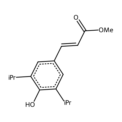 COC(=O)C=Cc1cc(C(C)C)c(O)c(C(C)C)c1